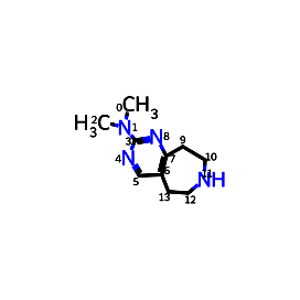 CN(C)c1ncc2c(n1)CCNCC2